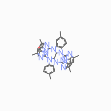 Cc1ccc2c(c1)N(c1nc(C)cc(C)n1)C(C1N(c3nc(C)cc(C)n3)c3ccc(C)cc3N1c1nc(C)cc(C)n1)N2c1nc(C)cc(C)n1